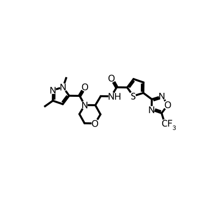 Cc1cc(C(=O)N2CCOCC2CNC(=O)c2ccc(-c3noc(C(F)(F)F)n3)s2)n(C)n1